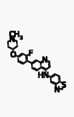 CN1CCC(Oc2ccc(-c3ccc4c(Nc5ccc6scnc6c5)ccnc4c3)c(F)c2)CC1